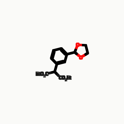 CCOC(=O)C(C(=O)OCC)c1cccc(C2OCCO2)c1